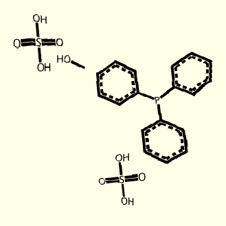 CO.O=S(=O)(O)O.O=S(=O)(O)O.c1ccc(P(c2ccccc2)c2ccccc2)cc1